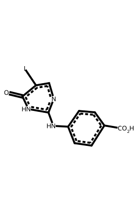 O=C(O)c1ccc(Nc2ncc(I)c(=O)[nH]2)cc1